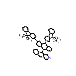 CC1(C)c2ccccc2-c2ccc(-c3ccc4c(-c5c6ccccc6cc6ccncc56)c5ccccc5c(-c5ccc6c(c5)C(C)(C)c5ccccc5-6)c4c3)cc21